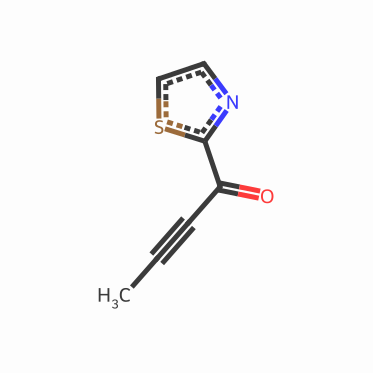 CC#CC(=O)c1nccs1